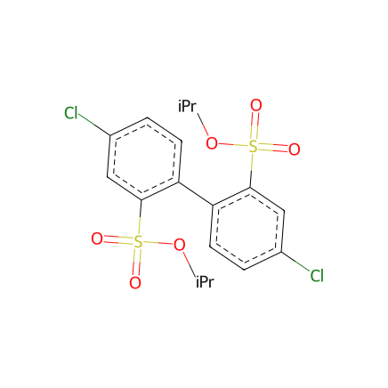 CC(C)OS(=O)(=O)c1cc(Cl)ccc1-c1ccc(Cl)cc1S(=O)(=O)OC(C)C